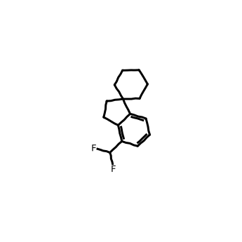 FC(F)c1cccc2c1CCC21CCCCC1